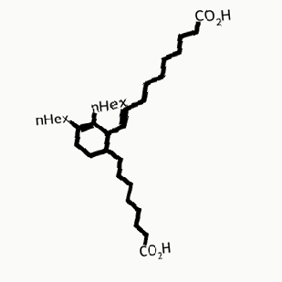 CCCCCCC1=C(CCCCCC)C(/C=C/CCCCCCCC(=O)O)C(CCCCCCCC(=O)O)CC1